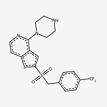 O=S(=O)(Cc1ccc(C(F)(F)F)cc1)c1cc2c(N3CCNCC3)nccc2s1